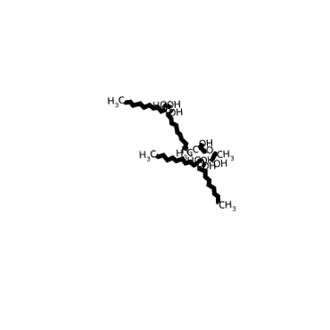 CC(O)COC(C)CO.CCCCCCCCCCP(O)(O)(O)CCCCCCCCCC.CCCCCCCCCCP(O)(O)(O)CCCCCCCCCC